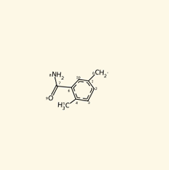 [CH2]c1ccc(C)c(C(N)=O)c1